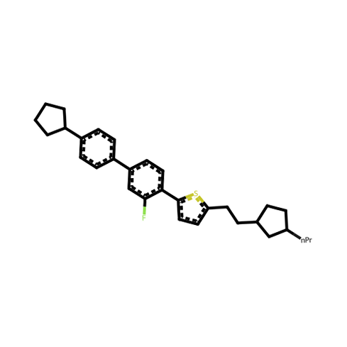 CCCC1CCC(CCc2ccc(-c3ccc(-c4ccc(C5CCCC5)cc4)cc3F)s2)C1